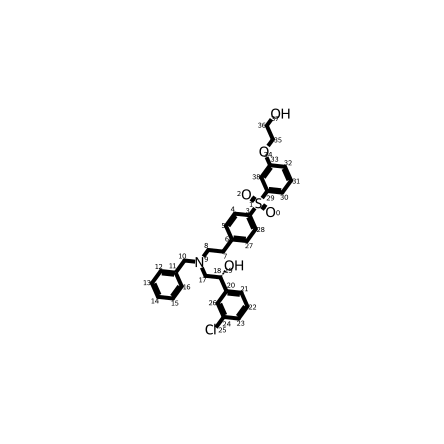 O=S(=O)(c1ccc(CCN(Cc2ccccc2)C[C@H](O)c2cccc(Cl)c2)cc1)c1cccc(OCCO)c1